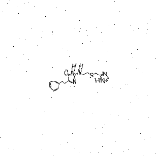 O=c1[nH]c(NCCSCc2ncc[nH]2)ncc1CCc1ccccc1